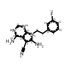 N#Cc1c(N)n(CCc2cccc(F)c2)c2ncnc(N)c12